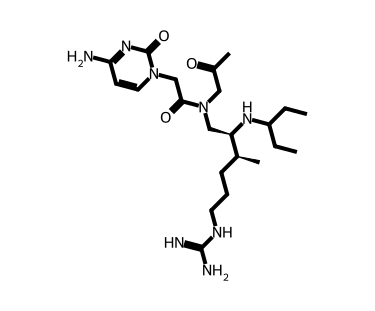 CCC(CC)N[C@H](CN(CC(C)=O)C(=O)Cn1ccc(N)nc1=O)[C@@H](C)CCCNC(=N)N